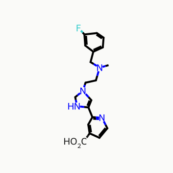 CN(CCN1C=C(c2cc(C(=O)O)ccn2)NC1)Cc1cccc(F)c1